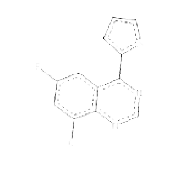 Fc1cc(Cl)c2ncnc(-c3cccs3)c2c1